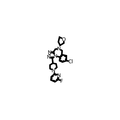 Fc1cccc(N2CCC(c3nnc4n3-c3ccc(Cl)cc3CN([C@@H]3CCOC3)C4)CC2)n1